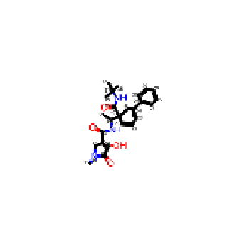 CC(NC(=O)C1=C(O)C(=O)N(C)C1)C1(C(=O)NC(C)(C)C)C=CC=C(c2ccccc2)C1